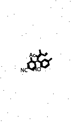 C=C/C(C)=C(/C(C)=O)[C@H](c1ccc(C#N)cc1C)c1cc(C)ccc1O